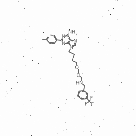 C=C(C)/C=C\C(=C/C)c1nc(N)c2ncn(CCCCOCOCNCc3cccc(C(F)(F)F)c3)c2n1